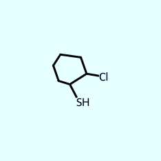 SC1CCCCC1Cl